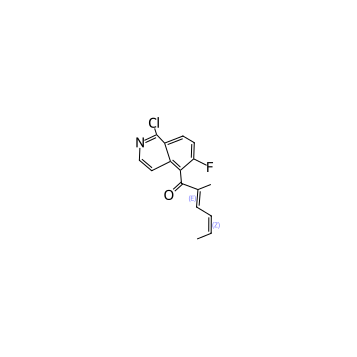 C/C=C\C=C(/C)C(=O)c1c(F)ccc2c(Cl)nccc12